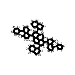 c1ccc2c(c1)Oc1ccc(-c3cc(-c4cccc5ccccc45)c4ccc5c(-c6ccc7c8c(cccc68)-c6ccccc6O7)cc(-c6cccc7ccccc67)c6ccc3c4c65)c3cccc-2c13